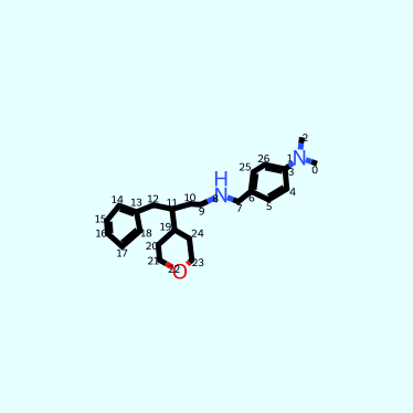 CN(C)c1ccc(CNCCC(Cc2ccccc2)C2CCOCC2)cc1